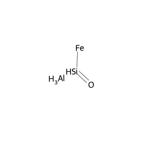 O=[SiH][Fe].[AlH3]